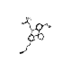 C#CCCCc1ccc2c(c1)C1(CCCC1)c1cc(N=N)ccc1N2CCC(=N)N